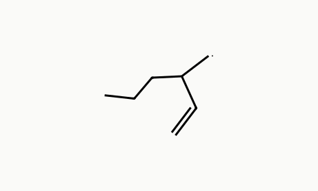 [CH2]C(C=C)CCC